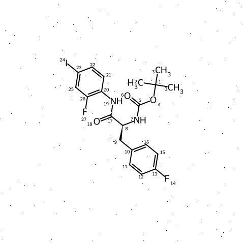 CC(C)(C)OC(=O)N[C@@H](Cc1ccc(F)cc1)C(=O)Nc1ccc(I)cc1F